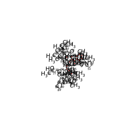 CCCCN(CC(=O)N(C)[C@H](C(=O)N[C@@H](COC(C)(C)C)C(=O)N(C)[C@@H](Cc1ccccc1)C(=O)N(C)[C@@H](CC(C)C)C(=O)N[C@@H](C)C(=O)N1CCCCC1)C(C)C)C(=O)[C@@H](NC(=O)[C@H](CC(C)C)N(C)C(=O)[C@H](COCC[C@@H](C)O)NC(=O)[C@H](Cc1ccccc1)N(C)C(=O)[C@H](NC(C)=O)C(C)C)[C@@H](C)O